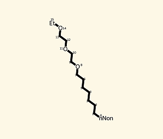 CCCCCCCCCCCCCCCCO[CH]COCCOCC